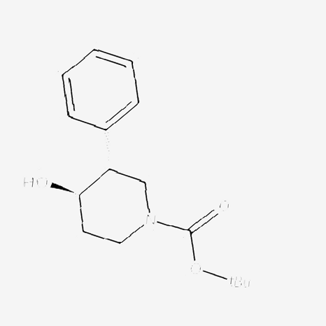 CC(C)(C)OC(=O)N1CC[C@@H](O)[C@H](c2ccccc2)C1